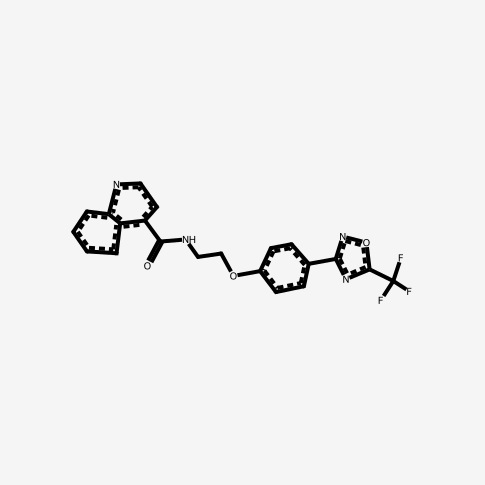 O=C(NCCOc1ccc(-c2noc(C(F)(F)F)n2)cc1)c1ccnc2ccccc12